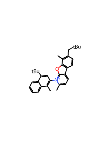 Cc1c(-[n+]2c(C)ccc3c4ccc(CC(C)(C)C)c(C)c4oc32)cc(C(C)(C)C)c2ccccc12